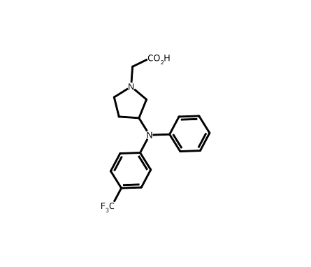 O=C(O)CN1CCC(N(c2ccccc2)c2ccc(C(F)(F)F)cc2)C1